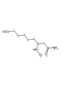 CCCCCCCCCCCCCC(CC(N)=O)NCC